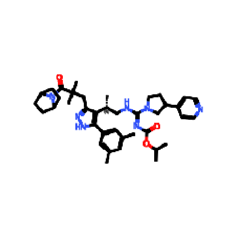 Cc1cc(C)cc(-c2[nH]nc(CC(C)(C)C(=O)N3C4CCC3CC4)c2[C@H](C)CNC(=NC(=O)OC(C)C)N2CCC(c3ccncc3)C2)c1